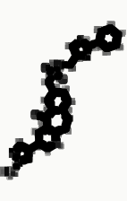 Cn1cc(-c2cnc3ccc4ccc(CS(=O)(=O)NCc5csc(-c6ccccc6)n5)cc4c(=O)c3c2)cn1